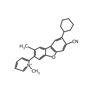 Cc1cc2c(cc1-c1cccc[n+]1C)oc1cc(C#N)c(C3CCCCC3)cc12